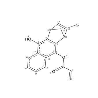 C=CC(=O)Oc1c2c(c(O)c3ccccc13)C1C=C(C)C2C1